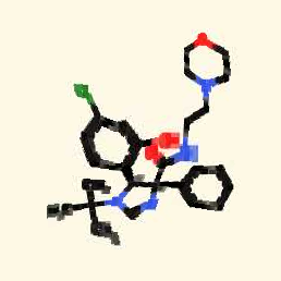 CC(C)(C)N1C=N[C@](C(=O)NCCN2CCOCC2)(c2ccccc2)[C@@H]1c1ccc(Cl)cc1O